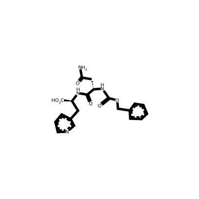 NC(=O)C[C@H](NC(=O)OCc1ccccc1)C(=O)N[C@@H](Cc1cccnc1)C(=O)O